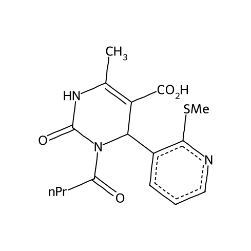 CCCC(=O)N1C(=O)NC(C)=C(C(=O)O)C1c1cccnc1SC